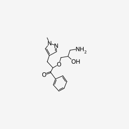 Cn1cc(CC(OCC(O)CN)C(=O)c2ccccc2)cn1